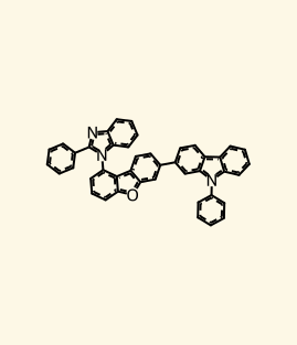 c1ccc(-c2nc3ccccc3n2-c2cccc3oc4cc(-c5ccc6c7ccccc7n(-c7ccccc7)c6c5)ccc4c23)cc1